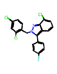 Fc1ccc(-c2c3cccc(Cl)c3nn2Cc2ccc(Cl)cc2Cl)cc1